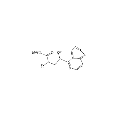 CCC(CC(O)c1nccc2ccccc12)C(=O)OC